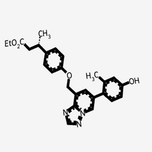 CCOC(=O)C[C@H](C)c1ccc(OCc2cc(-c3ccc(O)cc3C)cn3ncnc23)cc1